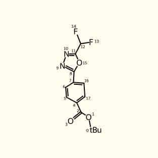 CC(C)(C)OC(=O)c1ccc(-c2nnc(C(F)F)o2)cc1